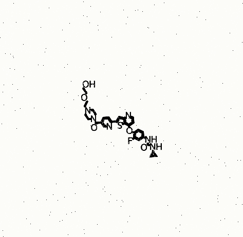 O=C(Nc1ccc(Oc2ccnc3cc(-c4ccc(C(=O)N5CCN(CCOCCO)CC5)cn4)sc23)c(F)c1)NC1CC1